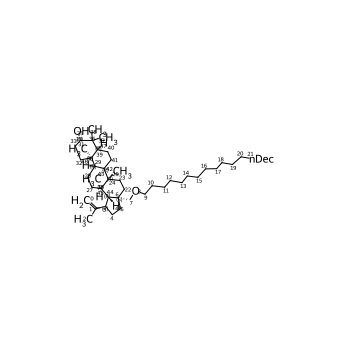 C=C(C)[C@@H]1CC[C@]2(COCCCCCCCCCCCCCCCCCCCCCC)CC[C@]3(C)[C@H](CC[C@@H]4[C@@]5(C)CC[C@H](O)C(C)(C)[C@@H]5CC[C@]43C)[C@@H]12